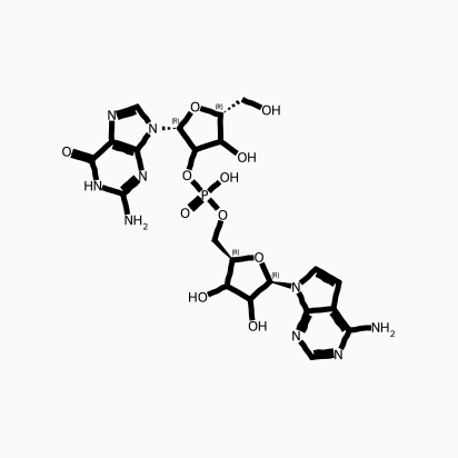 Nc1nc2c(ncn2[C@@H]2O[C@H](CO)C(O)C2OP(=O)(O)OC[C@H]2O[C@@H](n3ccc4c(N)ncnc43)C(O)C2O)c(=O)[nH]1